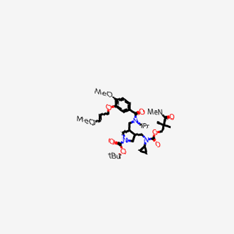 CNC(=O)C(C)(C)COC(=O)N(CC1CN(C(=O)OC(C)(C)C)CC1CN(C(=O)c1ccc(OC)c(OCCCOC)c1)C(C)C)C1CC1